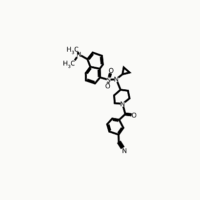 CN(C)c1cccc2c(S(=O)(=O)N(C3CC3)C3CCN(C(=O)c4cccc(C#N)c4)CC3)cccc12